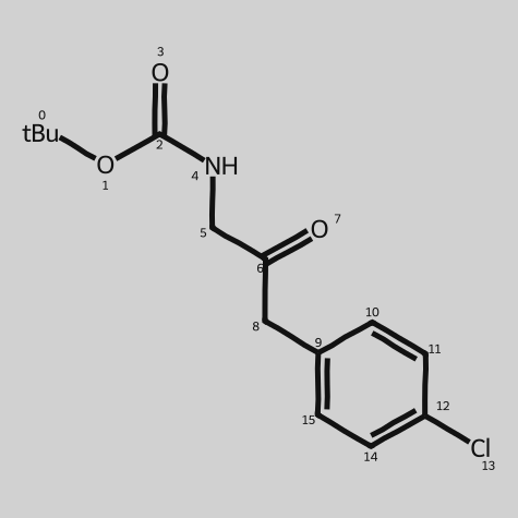 CC(C)(C)OC(=O)NCC(=O)Cc1ccc(Cl)cc1